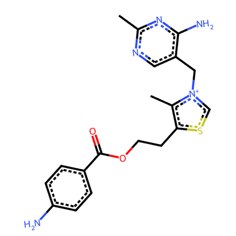 Cc1ncc(C[n+]2csc(CCOC(=O)c3ccc(N)cc3)c2C)c(N)n1